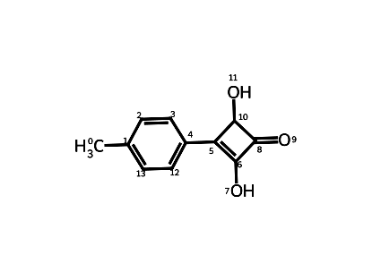 Cc1ccc(C2=C(O)C(=O)C2O)cc1